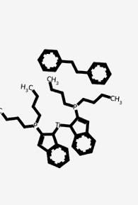 CCCCP(CCCC)C1=Cc2ccccc2[CH]1[Ti][CH]1C(P(CCCC)CCCC)=Cc2ccccc21.c1ccc(CCc2ccccc2)cc1